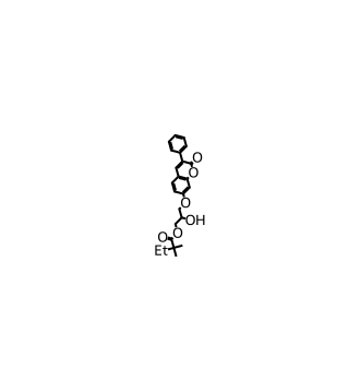 CCC(C)(C)C(=O)OCC(O)COc1ccc2cc(-c3ccccc3)c(=O)oc2c1